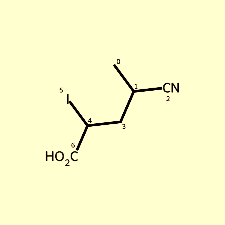 CC(C#N)CC(I)C(=O)O